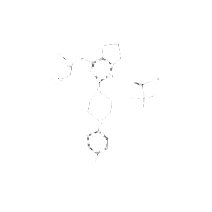 CC(C)[C@H](CN)Nc1nc(N2CCN(c3ccc(Cl)cc3)CC2)nc2c1SCC2.O=C(O)C(F)(F)F